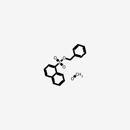 C=O.O=S(=O)(OCc1ccccc1)c1cccc2ccccc12